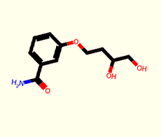 NC(=O)c1cccc(OCCC(O)CO)c1